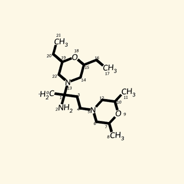 [CH2]C(N)(CCN1CC(C)OC(C)C1)N1CC(CC)OC(CC)C1